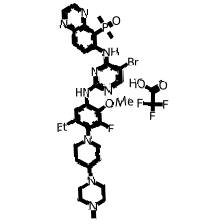 CCc1cc(Nc2ncc(Br)c(Nc3ccc4nccnc4c3P(C)(C)=O)n2)c(OC)c(F)c1N1CCC(N2CCN(C)CC2)CC1.O=C(O)C(F)(F)F